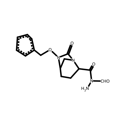 NN(C=O)C(=O)C1CCC2CN1C(=O)N2OCc1ccccc1